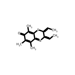 C/C=c1/nc2c(C)c(C)c(=O)c(C)c-2s/c1=C/C